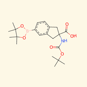 CC(C)(C)OC(=O)NC1(C(=O)O)Cc2ccc(B3OC(C)(C)C(C)(C)O3)cc2C1